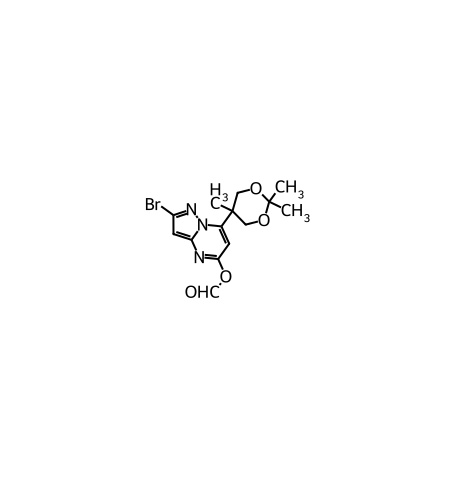 CC1(C)OCC(C)(c2cc(OC=O)nc3cc(Br)nn23)CO1